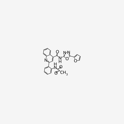 CS(=O)(=O)Nc1ccccc1-c1cc(C(=O)Nc2nnc(-c3ccco3)o2)c2ccccc2n1